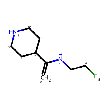 C=C(NCCF)C1CCNCC1